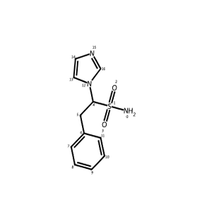 NS(=O)(=O)C(Cc1ccccc1)n1ccnc1